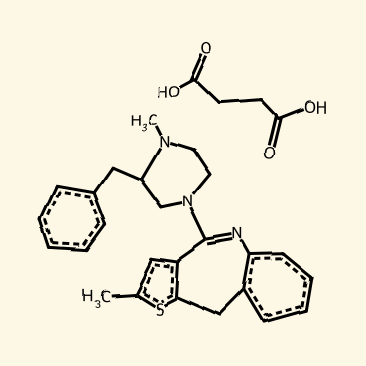 Cc1cc2c(s1)Cc1ccccc1N=C2N1CCN(C)C(Cc2ccccc2)C1.O=C(O)CCC(=O)O